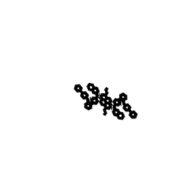 CCCc1cc(N(c2ccc3c(c2)CCCC3)c2ccc3c4ccccc4n(-c4ccc(-c5ccccc5)cc4)c3c2)c2ccc3c(CCC)cc(N(c4ccc5c(c4)CCCC5)c4ccc5c6ccccc6n(-c6ccc(-c7ccccc7)cc6)c5c4)c4ccc1c2c34